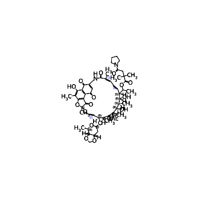 CC(=O)O[C@H]1[C@H](C)[C@H](O)[C@H](C)[C@@H](O)[C@@H](C(C)OC(=O)C(C)(C)CC(=O)N2CCCC2)/C=C/C=C(/C)C(=O)NC2=CC(=O)c3c(c(O)c(C)c4c3C(=O)[C@@](C)(O/C=C/[C@H](O[C@H]3C[C@@H]5OCO[C@@H]5[C@@H](C)O3)[C@H]1C)O4)C2=O